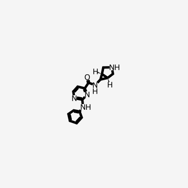 O=C(NC1[C@H]2CNC[C@@H]12)c1ccnc(Nc2ccccc2)n1